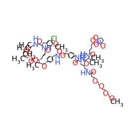 COCCOCCOCCOCCC(=O)NCCCC[C@H](NC(=O)[C@@H](NC(=O)CCCC(=O)ON1C(=O)CCC1=O)C(C)C)C(=O)Nc1ccc(COC(=O)NCc2ccc([C@H]3O[C@@H]3[C@@H](C)[C@@H]3C/C=C/C(=O)N[C@H](Cc4ccc(OC)c(Cl)c4)C(=O)NCC(C)(C)C(=O)O[C@@H](CC(C)C)C(=O)O3)cc2)cc1